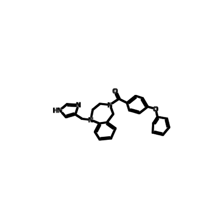 O=C(c1ccc(Oc2ccccc2)cc1)N1CCN(Cc2c[nH]cn2)c2ccccc2C1